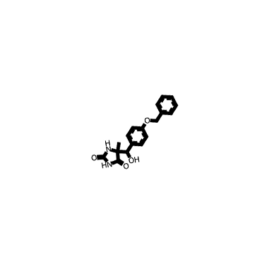 CC1(C(O)c2ccc(OCc3ccccc3)cc2)NC(=O)NC1=O